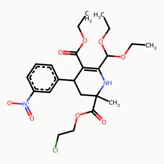 CCOC(=O)C1=C(C(OCC)OCC)NC(C)(C(=O)OCCCl)CC1c1cccc([N+](=O)[O-])c1